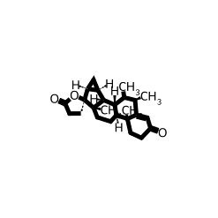 CC1[C@H]2[C@@H]3[C@@H]4C[C@@H]4[C@@]4(CCC(=O)O4)[C@@]3(C)CC[C@@H]2[C@@]2(C)CCC(=O)C=C2[C@@H]1C